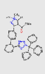 CCC[N+]1(C)N=C(c2ccc(-c3ccccc3-c3nnn(C(c4ccccc4)(c4ccccc4)c4ccccc4)n3)cc2)C(C(=O)OC)=C1CC